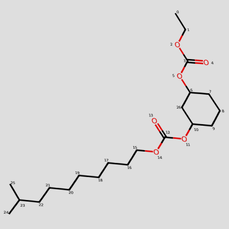 CCOC(=O)OC1CCCC(OC(=O)OCCCCCCCCC(C)C)C1